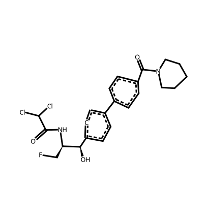 O=C(N[C@H](CF)[C@H](O)c1ccc(-c2ccc(C(=O)N3CCCCC3)cc2)cc1)C(Cl)Cl